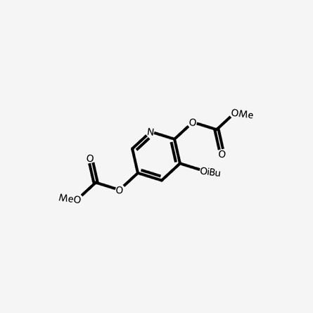 COC(=O)Oc1cnc(OC(=O)OC)c(OCC(C)C)c1